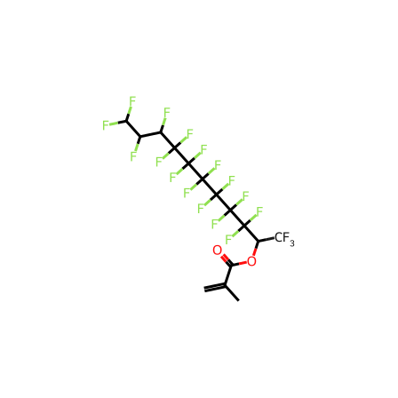 C=C(C)C(=O)OC(C(F)(F)F)C(F)(F)C(F)(F)C(F)(F)C(F)(F)C(F)(F)C(F)(F)C(F)C(F)C(F)F